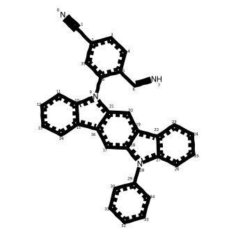 N#Cc1ccc(C=N)c(-n2c3ccccc3c3cc4c(cc32)c2ccccc2n4-c2ccccc2)c1